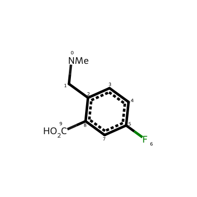 CNCc1ccc(F)cc1C(=O)O